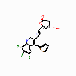 O=C1C[C@H](O)C[C@@H](/C=C/c2cnc3c(F)c(F)c(F)cc3c2-c2cccs2)O1